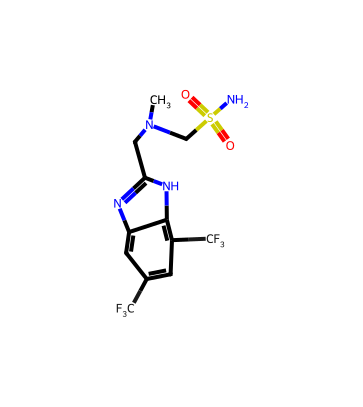 CN(Cc1nc2cc(C(F)(F)F)cc(C(F)(F)F)c2[nH]1)CS(N)(=O)=O